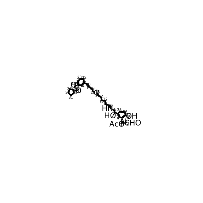 CC(=O)ON(C=O)c1cc([C@@H](O)CNCCCCCCOCCCCc2cccc(S(=O)(=O)C3CCCC3)c2)ccc1O